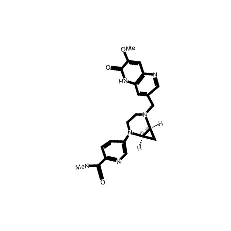 CNC(=O)c1ccc(N2CCN(Cc3cnc4cc(OC)c(=O)[nH]c4c3)[C@H]3C[C@H]32)cn1